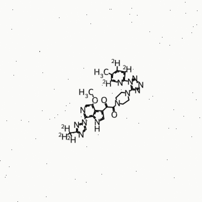 [2H]c1nc(-n2nnnc2N2CCN(C(=O)C(=O)c3c[nH]c4c(-n5cnc(C([2H])([2H])[2H])n5)ncc(OC)c34)CC2)c([2H])c([2H])c1C